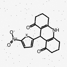 O=C1CCCC2=C1C(c1ccc([N+](=O)[O-])s1)C1=C(CCCC1=O)N2